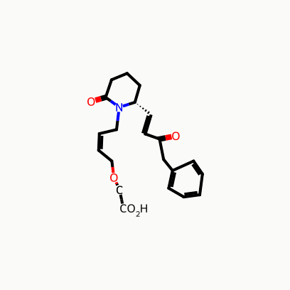 O=C(O)COC/C=C\CN1C(=O)CCC[C@@H]1/C=C/C(=O)Cc1ccccc1